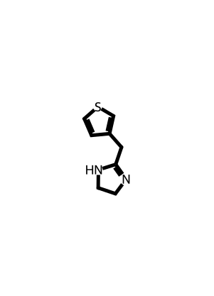 c1cc(CC2=NCCN2)cs1